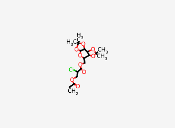 C=CC(=O)OCC(Cl)C(=O)OCC1OC2OC(C)(C)OC2C2OC(C)(C)OC12